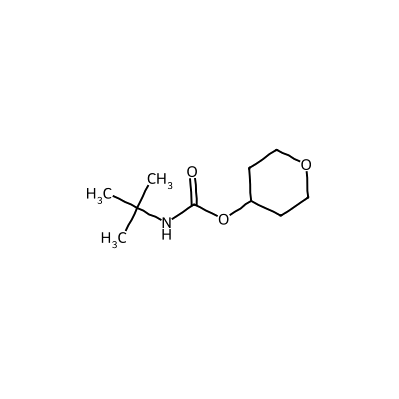 CC(C)(C)NC(=O)OC1CCOCC1